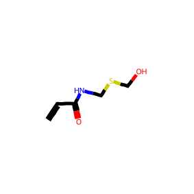 C=CC(=O)NCSCO